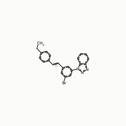 CCc1ccc(/C=C/c2cc(Br)cc(-n3nnc4ccccc43)c2)cc1